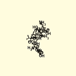 CC(C)[C@H](N)C(=O)O.CC(C)[C@H](N)C(=O)O.C[C@@H](O)[C@H](N)C(=O)O.NC(=O)CC[C@H](N)C(=O)O.NCC(=O)O.NCCCC[C@H](N)C(=O)O